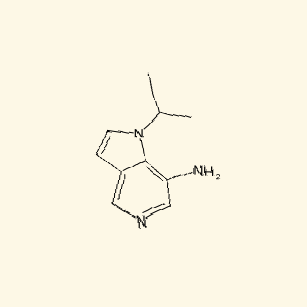 CC(C)n1ccc2cncc(N)c21